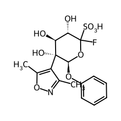 Cc1noc(C)c1[C@]1(O)[C@H](Oc2ccccc2)OC(F)(S(=O)(=O)O)[C@@H](O)[C@@H]1O